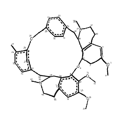 COC1=CC2=C3C(C1)Oc1c(OC)c(OC)cc4c1C(Cc1ccc(C)c(c1)Oc1ccc(cc1)CC3N(C)CC2)N(C)CC4